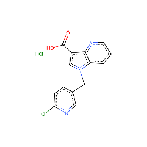 Cl.O=C(O)c1cn(Cc2ccc(Cl)nc2)c2cccnc12